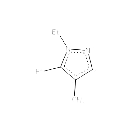 CCc1c(C)cnn1CC